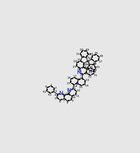 c1ccc(-c2ccc3ccc4ccc(-c5cccc6c(-c7nc8ccc9c(c8c8ccccc78)C(c7ccccc7)(c7ccccc7)c7ccccc7-9)cccc56)nc4c3n2)cc1